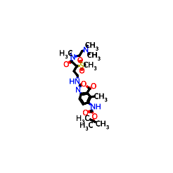 Cc1c(NC(=O)OC(C)(C)C)ccc2nc(NCCC(C(=O)N(C)CCN(C)C)S(C)(=O)=O)oc(=O)c12